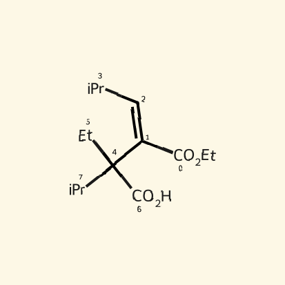 CCOC(=O)C(=CC(C)C)C(CC)(C(=O)O)C(C)C